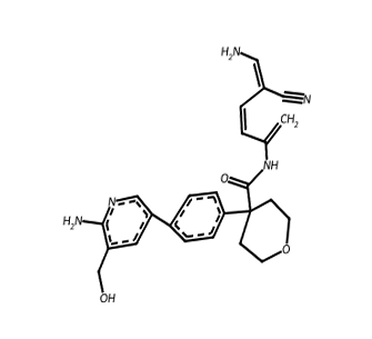 C=C(/C=C\C(C#N)=C/N)NC(=O)C1(c2ccc(-c3cnc(N)c(CO)c3)cc2)CCOCC1